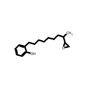 CC(CCCCCCCc1ccccc1O)C1CO1